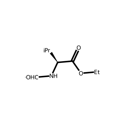 CCOC(=O)[C@@H](N[C]=O)C(C)C